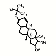 CCC(C)(C)Oc1ccc2c(c1)CC[C@@H]1[C@@H]2CC[C@]2(C)[C@@H](O)[C@H](O)C[C@@H]12